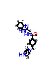 O=C(NCc1nc2ccccc2[nH]1)c1ccc(CN2CC3CC2CN3)cc1